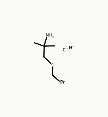 CC(C)CSCC(C)(C)N.[Cl-].[H+]